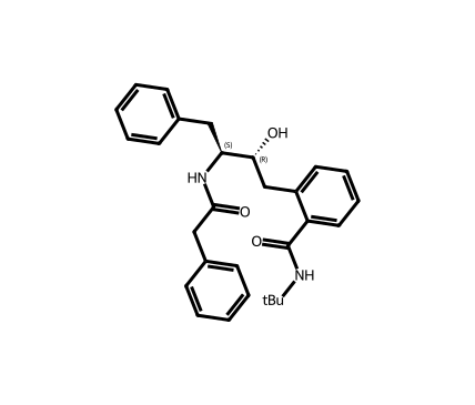 CC(C)(C)NC(=O)c1ccccc1C[C@@H](O)[C@H](Cc1ccccc1)NC(=O)Cc1ccccc1